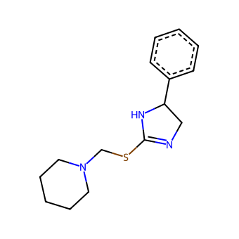 c1ccc(C2CN=C(SCN3CCCCC3)N2)cc1